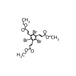 CCOC(=O)/C=C/c1c(Br)c(/C=C/C(=O)OCC)c(Br)c(/C=C/C(=O)OCC)c1Br